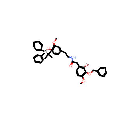 COc1cc(CCNC(=O)Cc2ccc(OC)c(OCc3ccccc3)c2Br)ccc1O[Si](c1ccccc1)(c1ccccc1)C(C)(C)C